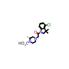 C[C@@H]1CN(CC(=O)N2CC(C)(C)c3c(Cl)cccc32)CCN1C(=O)O